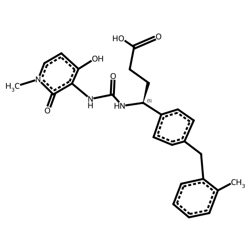 Cc1ccccc1Cc1ccc([C@H](CCC(=O)O)NC(=O)Nc2c(O)ccn(C)c2=O)cc1